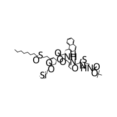 C/C=C(\NC(=O)c1csc(CNC(=O)OC(C)(C)C)n1)C(=O)N[C@@H](Cc1cccc2ccccc12)C(=O)O[C@H](/C=C/CCSC(=O)CCCCCCC)CC(=O)OCC[Si](C)(C)C